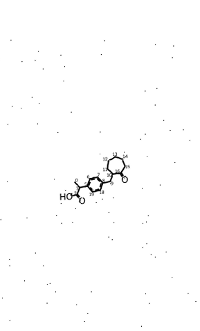 CC(C(=O)O)c1ccc(CC2CCCCCC2=O)cc1